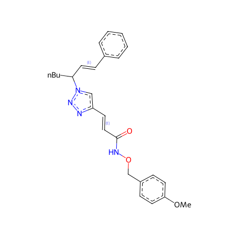 CCCCC(/C=C/c1ccccc1)n1cc(/C=C/C(=O)NOCc2ccc(OC)cc2)nn1